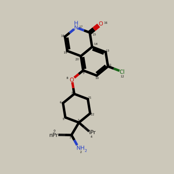 CCCC(N)C1(C(C)C)CCC(Oc2cc(Cl)cc3c(=O)[nH]ccc23)CC1